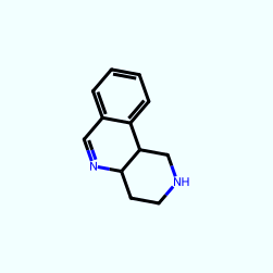 C1=NC2CCNCC2c2ccccc21